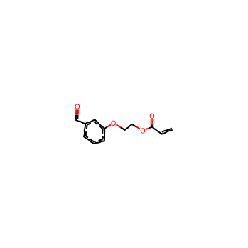 C=CC(=O)OCCOc1cccc(C=O)c1